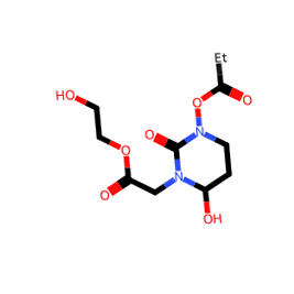 CCC(=O)ON1CCC(O)N(CC(=O)OCCO)C1=O